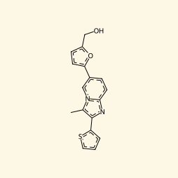 Cc1c(-c2cccs2)nc2ccc(-c3ccc(CO)o3)cn12